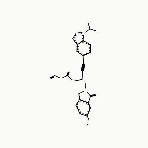 COc1ccc2c(c1)C(=O)N(C[C@@H](C#Cc1ccc3c(cnn3C(C)C)c1)NC(=O)NC=O)C2